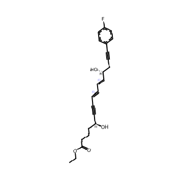 CCOC(=O)CCC[C@H](O)C#C/C=C/C=C/[C@H](O)CC#Cc1ccc(F)cc1